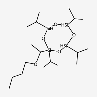 CCCCOC(C)[Si]1(C(C)C)O[SiH](C(C)C)O[SiH](C(C)C)O[SiH](C(C)C)O1